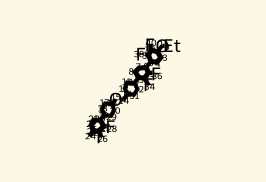 CCOc1ccc(-c2ccc(C3=CCC(COC4CCC(c5ccc(C)c(F)c5F)CC4)CC3)c(F)c2F)c(F)c1F